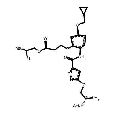 CCCCC(CC)COC(=O)CCSc1cc(OCC2CC2)ccc1NC(=O)c1cc(OC[C@H](C)NC(C)=O)no1